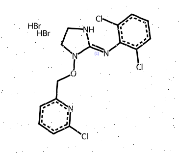 Br.Br.Clc1cccc(CON2CCN/C2=N\c2c(Cl)cccc2Cl)n1